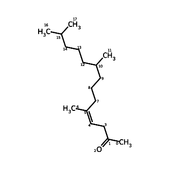 CC(=O)CC=C(C)CCCC(C)CCCC(C)C